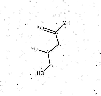 O=C(O)C[CH]([U])CO